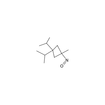 CC(C)C1(C(C)C)CC(C)(N=O)C1